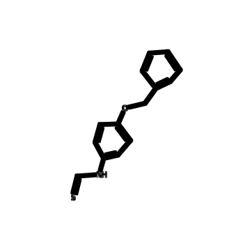 S=CNc1ccc(OCc2ccccc2)cc1